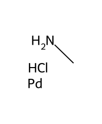 CN.Cl.[Pd]